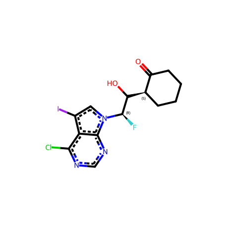 O=C1CCCC[C@H]1C(O)[C@@H](F)n1cc(I)c2c(Cl)ncnc21